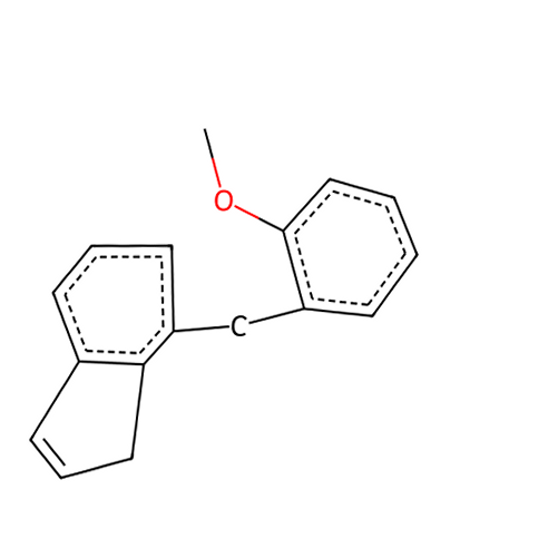 COc1ccccc1Cc1cccc2c1CC=C2